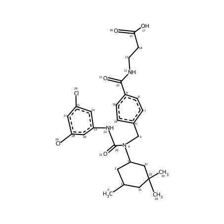 CC1CC(N(Cc2ccc(C(=O)NCCC(=O)O)cc2)C(=O)Nc2cc(Cl)cc(Cl)c2)CC(C)(C)C1